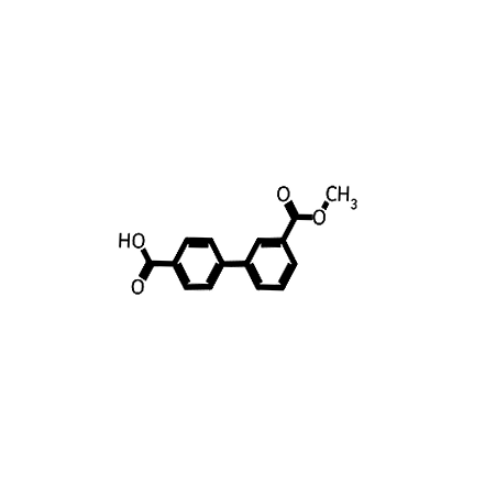 COC(=O)c1cccc(-c2ccc(C(=O)O)cc2)c1